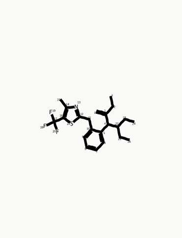 C=C(CC)C(c1ccccc1Cc1nc(C)c(C(F)(F)F)s1)C(CC)CC